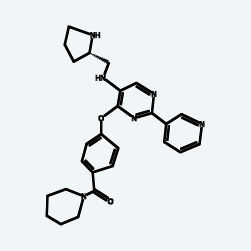 O=C(c1ccc(Oc2nc(-c3cccnc3)ncc2NC[C@@H]2CCCN2)cc1)N1CCCCC1